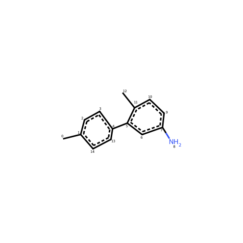 Cc1ccc(-c2cc(N)ccc2C)cc1